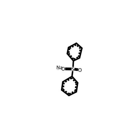 O=S(=O)(c1ccccc1)c1ccccc1.[Na]